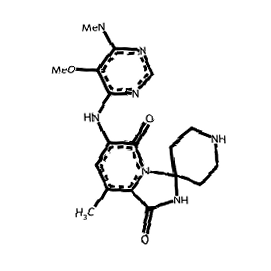 CNc1ncnc(Nc2cc(C)c3n(c2=O)C2(CCNCC2)NC3=O)c1OC